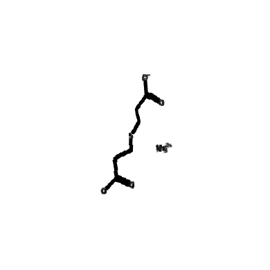 O=C([O-])CCSCCC(=O)[O-].[Mg+2]